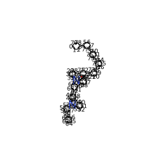 c1ccc(-c2cccc(-c3ccc(-c4cccc(-c5cccc(-c6ccc(-c7ccccc7-n7c8ccccc8c8cc(-c9ccc%10c(c9)c9ccccc9n%10-c9cccc(-c%10ccccc%10)c9)ccc87)cc6)c5)c4)cc3)c2)cc1